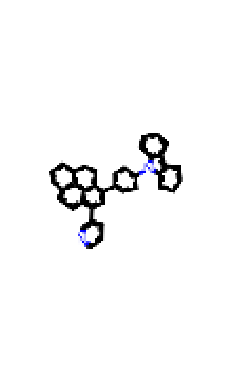 c1cncc(-c2cc(-c3ccc(-n4c5ccccc5c5ccccc54)cc3)c3ccc4cccc5ccc2c3c45)c1